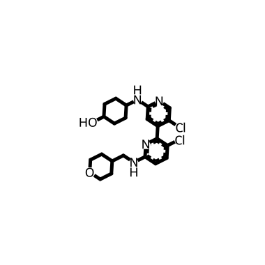 OC1CCC(Nc2cc(-c3nc(NCC4CCOCC4)ccc3Cl)c(Cl)cn2)CC1